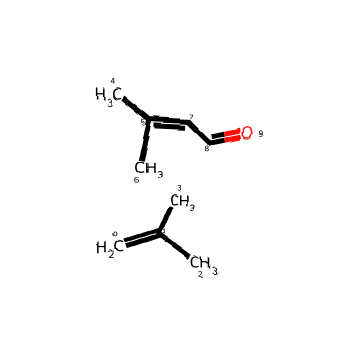 C=C(C)C.CC(C)=CC=O